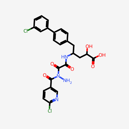 NN(C(=O)C(=O)NC(Cc1ccc(-c2cccc(Cl)c2)cc1)CC(O)C(=O)O)C(=O)c1ccc(Cl)nc1